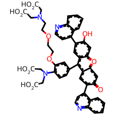 O=C(O)CN(CCOCCOc1cc(-c2c3cc(-c4ccnc5ccccc45)c(=O)cc-3oc3cc(O)c(-c4ccnc5ccccc45)cc23)ccc1N(CC(=O)O)CC(=O)O)CC(=O)O